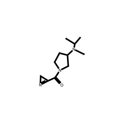 CC(C)N(C)C1CCN(C(=O)C2=NC2)C1